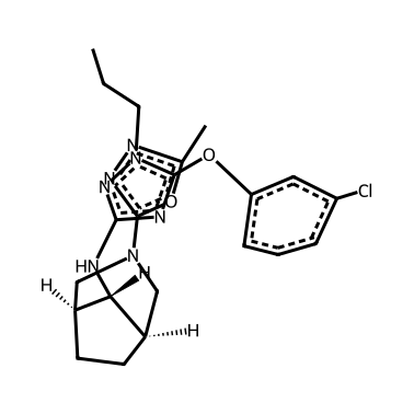 CCCn1nc(N[C@@H]2[C@@H]3CC[C@H]2CN(c2nnc(C)o2)C3)nc1Oc1cccc(Cl)c1